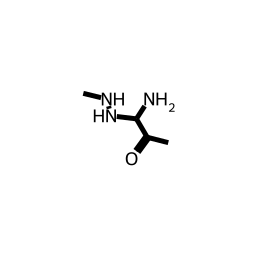 CNNC(N)C(C)=O